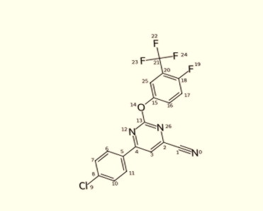 N#Cc1cc(-c2ccc(Cl)cc2)nc(Oc2ccc(F)c(C(F)(F)F)c2)n1